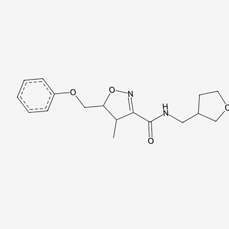 CC1C(C(=O)NCC2CCOC2)=NOC1COc1ccccc1